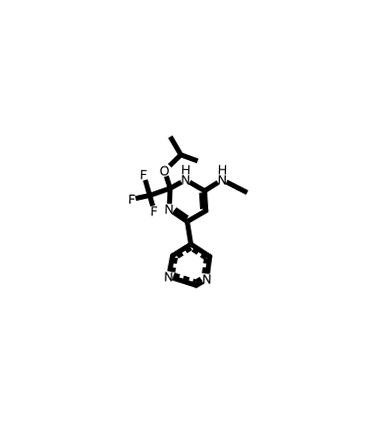 CNC1=CC(c2cncnc2)=NC(OC(C)C)(C(F)(F)F)N1